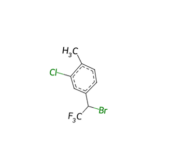 Cc1ccc(C(Br)C(F)(F)F)cc1Cl